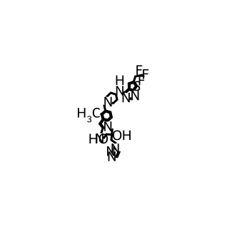 Cc1c(CN2CCC(Nc3ncnc4sc(CC(F)(F)F)cc34)CC2)ccc2c1cc(C#N)n2CC(O)(CO)CCn1ccnn1